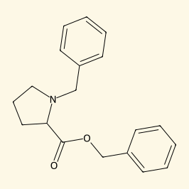 O=C(OCc1ccccc1)C1CCCN1Cc1ccccc1